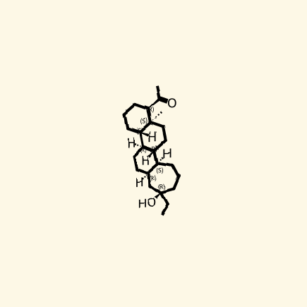 CC[C@@]1(O)CCC[C@H]2[C@H](CC[C@@H]3[C@@H]2CC[C@]2(C)[C@H](C(C)=O)CCC[C@@H]32)C1